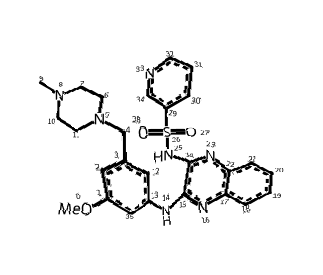 COc1cc(CN2CCN(C)CC2)cc(Nc2nc3ccccc3nc2NS(=O)(=O)c2cccnc2)c1